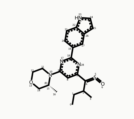 CCC(C)C(=S=O)c1cc(N2CCOC[C@H]2C)nc(-c2ccc3[nH]ccc3c2)n1